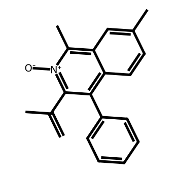 C=C(C)c1c(-c2ccccc2)c2ccc(C)cc2c(C)[n+]1[O-]